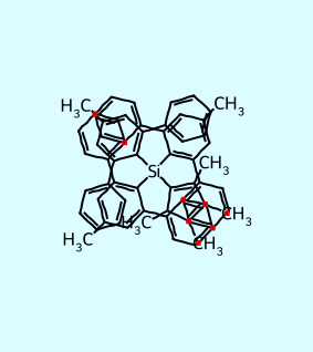 CC1=C(C)C(C)C([Si](c2c(-c3ccccc3)cc(C)cc2-c2ccccc2)(c2c(-c3ccccc3)cc(C)cc2-c2ccccc2)c2c(-c3ccccc3)cc(C)cc2-c2ccccc2)=C1C